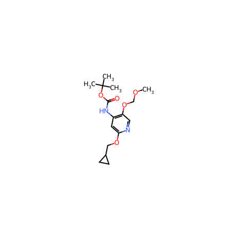 COCOc1cnc(OCC2CC2)cc1NC(=O)OC(C)(C)C